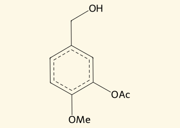 COc1ccc(CO)cc1OC(C)=O